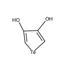 Oc1c[te]cc1O